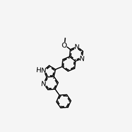 COc1ncnc2ccc(-c3c[nH]c4ncc(-c5ccccc5)cc34)cc12